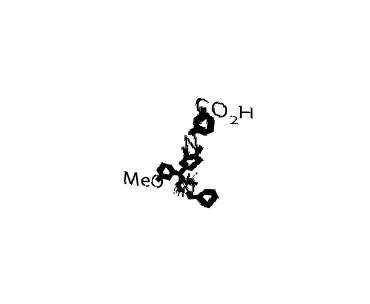 COc1cccc(C(c2ccc3c(c2)CN(Cc2cccc(C(=O)O)c2)C3)N2C[C@@H](C)N(Cc3ccccc3)C[C@H]2C)c1